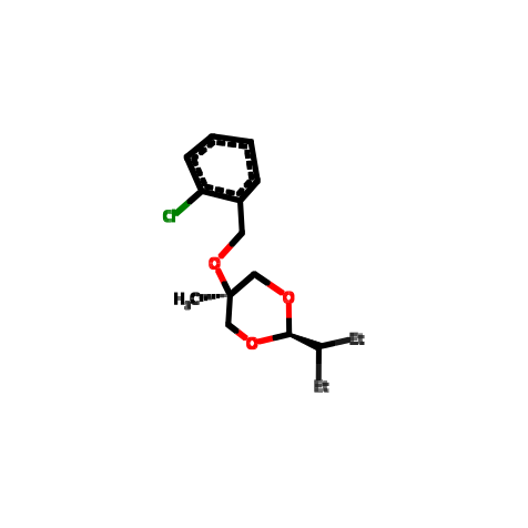 CCC(CC)[C@H]1OC[C@@](C)(OCc2ccccc2Cl)CO1